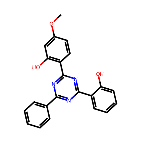 COc1ccc(-c2nc(-c3ccccc3)nc(-c3ccccc3O)n2)c(O)c1